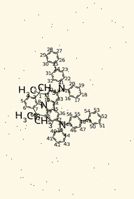 CC1(C)c2cccc3c2-n2c4c1cc(N(c1ccccc1)c1ccc(-c5ccccc5)cc1)cc4c1cc(N(c4ccccc4)c4ccc(-c5ccccc5)cc4)cc(c12)C3(C)C